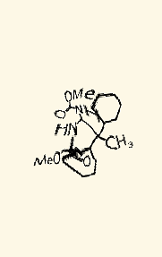 COC(=O)NC(NC(=O)OC)C(C)(C1CCCCC1)C1CCCCC1